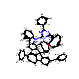 c1ccc(-c2ccc3c(c2)C2(c4cc(-c5ccccc5)ccc4-3)c3ccccc3-c3c2ccc2c4ccccc4n(-c4nc(-c5ccccc5)nc(-c5ccccc5)n4)c32)cc1